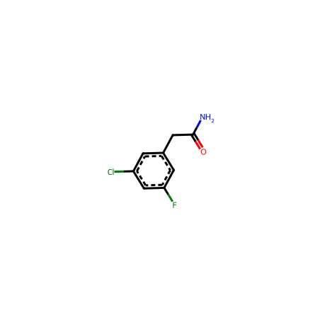 NC(=O)Cc1cc(F)cc(Cl)c1